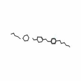 CCCCCCc1ccc(CCC2=CCC(CC[C@H]3CC[C@H](CCCCC)CC3)CC2)cc1F